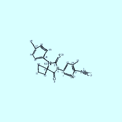 [C-]#[N+]c1ncc(N2C(=O)C3(CCC3)N(c3ccc(C)cc3)C2=S)cc1C